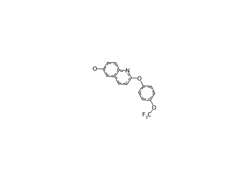 [O]c1ccc2nc(Oc3ccc(OC(F)(F)F)cc3)ccc2c1